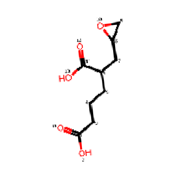 O=C(O)CCCC(CC1CO1)C(=O)O